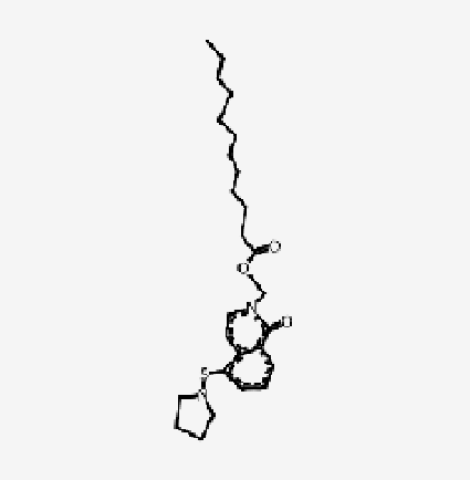 CCCCCCCCCCCC(=O)OCn1ccc2c(SN3CCCC3)cccc2c1=O